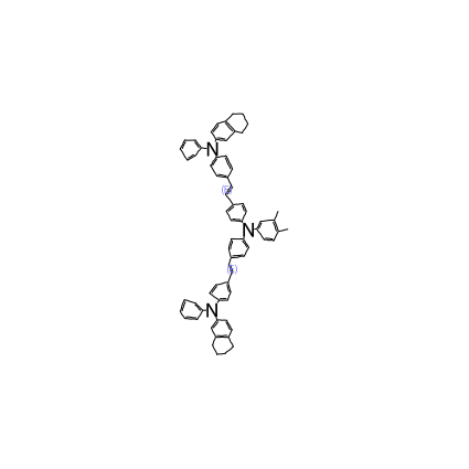 Cc1ccc(N(c2ccc(/C=C/c3ccc(N(c4ccccc4)c4ccc5c(c4)CCCC5)cc3)cc2)c2ccc(/C=C/c3ccc(N(c4ccccc4)c4ccc5c(c4)CCCC5)cc3)cc2)cc1C